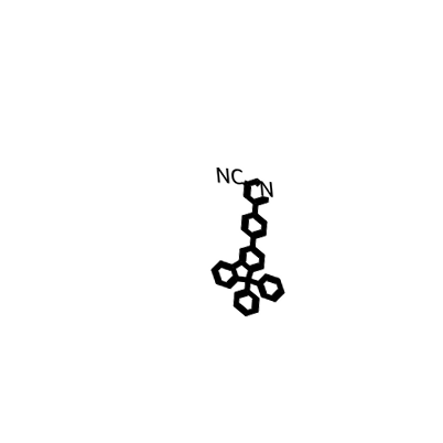 N#Cc1cncc(-c2ccc(-c3ccc4c(c3)-c3ccccc3C4(c3ccccc3)c3ccccc3)cc2)c1